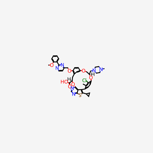 COc1ccccc1-c1nccc(COc2ccc3cc2C[C@H](C(=O)O)Oc2ncnc4sc(C5CC5)c(c24)-c2ccc(c(Cl)c2C)O[C@H](CN2CCN(C)CC2)CO3)n1